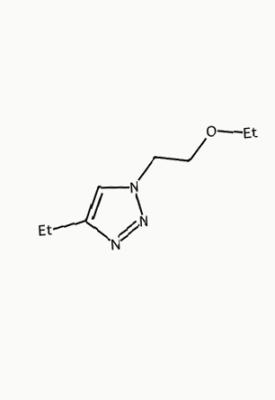 CCOCCn1cc(CC)nn1